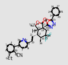 CCc1cccc(-c2ccc(/C=C/[C@@H]3[C@@H]4[C@@H](C)OC(=O)[C@]4(c4nnc(-c5ccccc5)o4)CC(F)(F)[C@H]3C)nc2)c1C#N